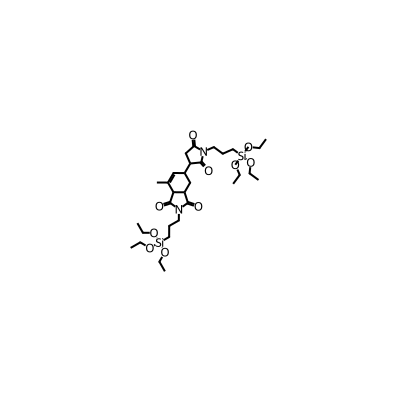 CCO[Si](CCCN1C(=O)CC(C2C=C(C)C3C(=O)N(CCC[Si](OCC)(OCC)OCC)C(=O)C3C2)C1=O)(OCC)OCC